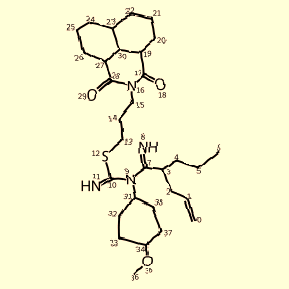 C=CCC(CCC)C(=N)N(C(=N)SCCCN1C(=O)C2CCCC3CCCC(C1=O)C32)C1CCC(OC)CC1